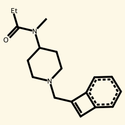 CCC(=O)N(C)C1CCN(CC2=Cc3ccccc32)CC1